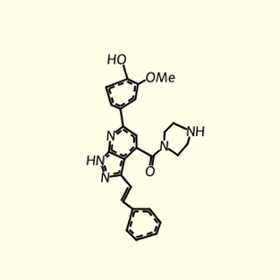 COc1cc(-c2cc(C(=O)N3CCNCC3)c3c(C=Cc4ccccc4)n[nH]c3n2)ccc1O